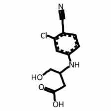 N#Cc1ccc(NC(CO)CC(=O)O)cc1Cl